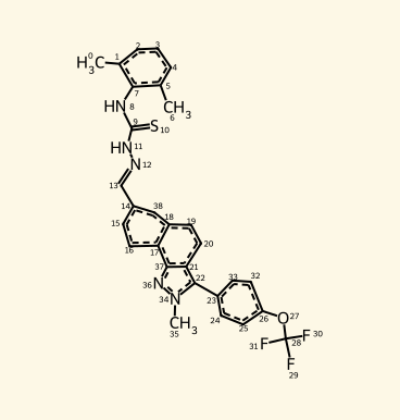 Cc1cccc(C)c1NC(=S)NN=Cc1ccc2c(ccc3c(-c4ccc(OC(F)(F)F)cc4)n(C)nc32)c1